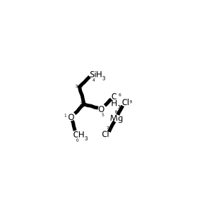 COC([CH][SiH3])OC.[Cl][Mg][Cl]